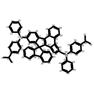 CC(C)c1ccc(N(c2ccccc2)c2ccc3c(c2)C2(c4ccccc4-c4ccccc42)c2c-3c3ccccc3c3cc(N(c4ccccc4)c4ccc(C(C)C)cc4)ccc23)cc1